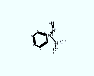 [N-]=[N+]=N[N+](=O)[O-].c1ccccc1